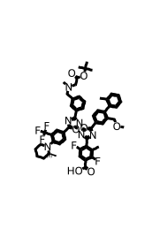 COCc1cc(-c2nc(-c3c(F)cc(C(=O)O)c(F)c3C)no2)ccc1-c1ccccc1C.C[C@H]1CCCCN1c1ccc(-c2nc(-c3cccc(CN(C)CC(=O)OC(C)(C)C)c3)no2)cc1C(F)(F)F